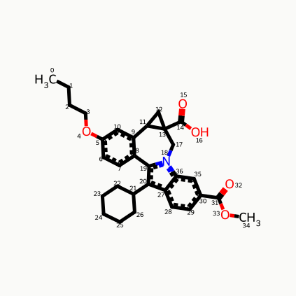 CCCCOc1ccc2c(c1)C1CC1(C(=O)O)Cn1c-2c(C2CCCCC2)c2ccc(C(=O)OC)cc21